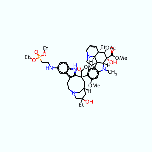 CCOP(=O)(CCNc1ccc2[nH]c3c(c2c1)CCN1C[C@@H](C[C@@](O)(CC)C1)C[C@]3(C(=O)OC)c1cc2c(cc1OC)N(C)[C@H]1[C@@](O)(C(=O)OC)[C@H](OC(C)=O)[C@]3(CC)C=CCN4CC[C@]21[C@@H]43)OCC